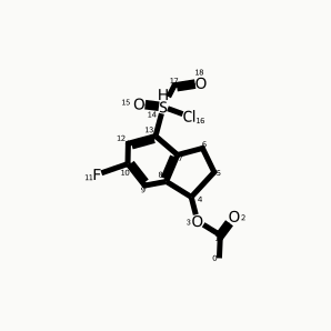 CC(=O)OC1CCc2c1cc(F)cc2[SH](=O)(Cl)C=O